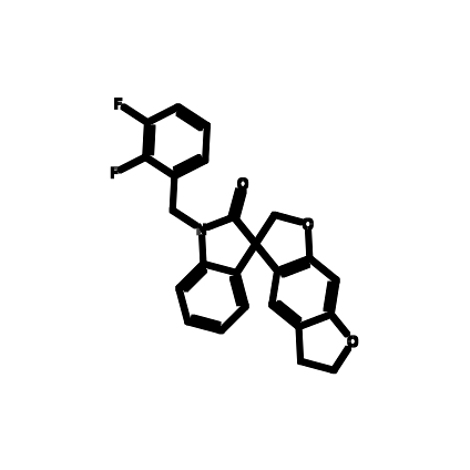 O=C1N(Cc2cccc(F)c2F)c2ccccc2C12COc1cc3c(cc12)CCO3